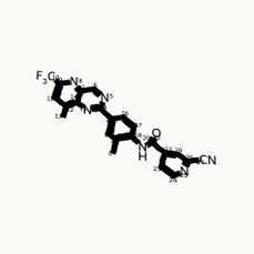 Cc1cc(-c2ncc3nc(C(F)(F)F)cc(C)c3n2)ccc1NC(=O)c1ccnc(C#N)c1